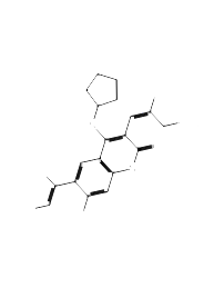 CC=C(C)c1cc2c(NC3CCCC3)c(/C=C(/C)CC)c(=O)[nH]c2cc1C